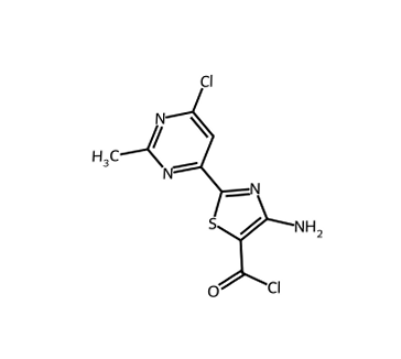 Cc1nc(Cl)cc(-c2nc(N)c(C(=O)Cl)s2)n1